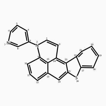 C1=CN(c2cccnc2)c2cccc3cc4sc5ccccc5c4c1c23